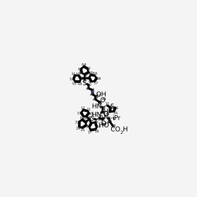 CC(C)[C@@H](NC(=O)[C@@H](CSC(c1ccccc1)(c1ccccc1)c1ccccc1)NC(=O)[C@@H](Cc1cccs1)NC(=O)C[C@H](O)/C=C/CCSC(c1ccccc1)(c1ccccc1)c1ccccc1)[C@@H](O)CC(=O)O